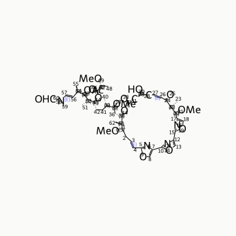 CO[C@H]1C/C=C/c2nc(co2)-c2nc(co2)-c2nc(co2)[C@@H](OC)[C@@H](C)C(=O)/C=C/C[C@H](O)CC(=O)O[C@@H](C[C@H](OC)[C@@H](C)CC[C@@H](OC(=O)[C@@H](C)OC)[C@H](C)[C@H](OC(C)=O)[C@H](C)/C=C/N(C)C=O)[C@@H]1C